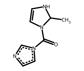 CC1NC=CN1C(=O)n1ccnc1